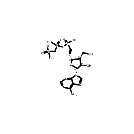 Nc1ncnc2c1ncn2[C@@H]1O[C@H](/C=C/P(=O)(O)OP(=O)(O)CP(=O)(O)O)[C@@H](CO)[C@H]1O